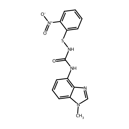 Cn1cnc2c(NC(=O)NSc3ccccc3[N+](=O)[O-])cccc21